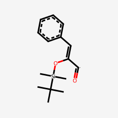 CC(C)(C)[Si](C)(C)OC([C]=O)=Cc1ccccc1